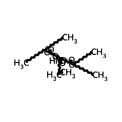 CCCCCCCCCCC(CCCCCCCCCC)OC(=O)CCOCC(COCCC(=O)OC(CCCCCCCCCC)CCCCCCCCCC)NC(=O)CCCN(C)C